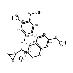 C[N@@+]1(CC2CC2)CCc2cc(CO)ccc2[C@H]1Cc1ccc(CO)c(O)c1